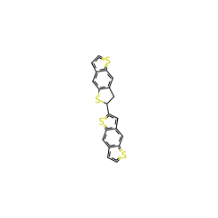 c1cc2cc3c(cc2s1)CC(c1cc2cc4sccc4cc2s1)S3